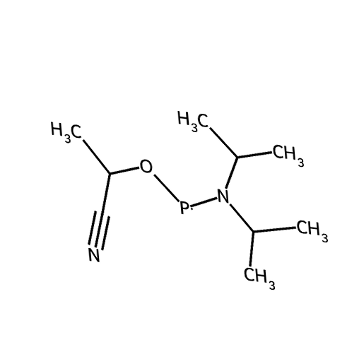 CC(C#N)O[P]N(C(C)C)C(C)C